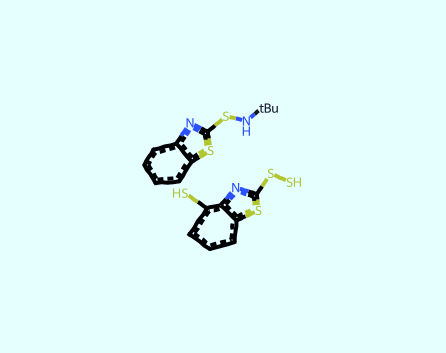 CC(C)(C)NSc1nc2ccccc2s1.SSc1nc2c(S)cccc2s1